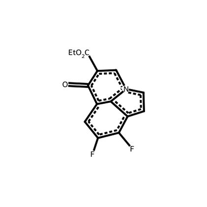 CCOC(=O)c1cn2ccc3c(F)c(F)cc(c1=O)c32